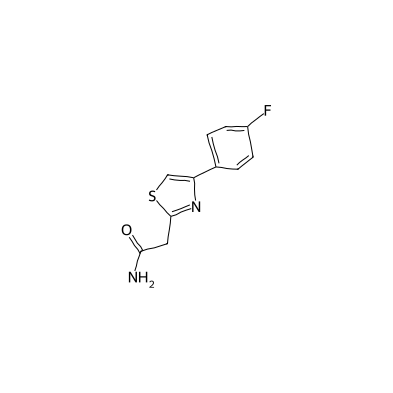 NC(=O)Cc1nc(-c2ccc(F)cc2)cs1